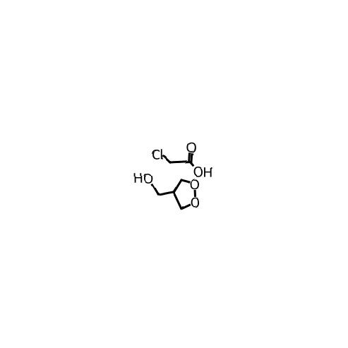 O=C(O)CCl.OCC1COOC1